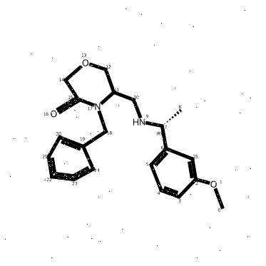 COc1cccc([C@@H](C)NCC2COCC(=O)N2CC2=CC=C=C=C2)c1